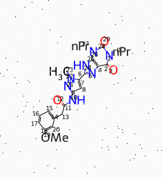 CCCn1c(=O)c2nc(-c3cc(NC(=O)Cc4cccc(OC)c4)nn3C)[nH]c2n(CCC)c1=O